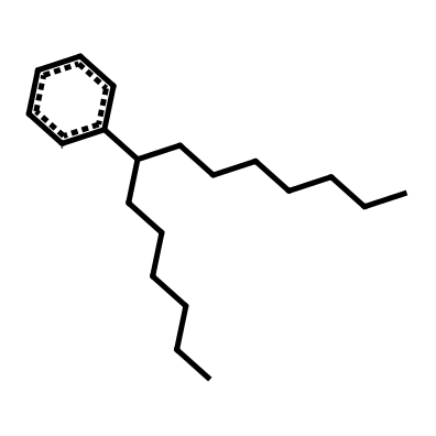 CCCCCCCC(CCCCCC)c1[c]cccc1